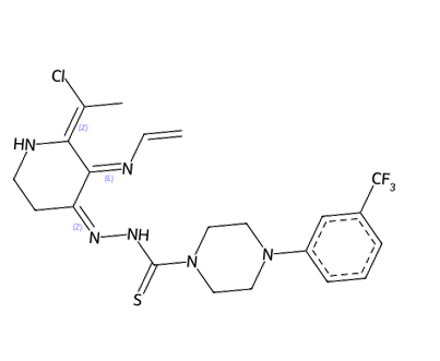 C=C/N=C1C(=N\NC(=S)N2CCN(c3cccc(C(F)(F)F)c3)CC2)/CCNC/1=C(/C)Cl